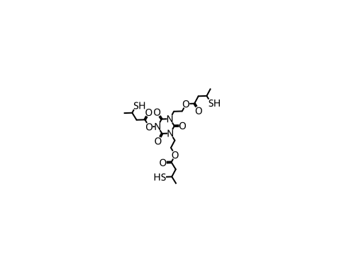 CC(S)CC(=O)OCCn1c(=O)n(CCOC(=O)CC(C)S)c(=O)n(OC(=O)CC(C)S)c1=O